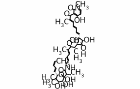 C/C=C\C=C\[C@@H]1O[C@](O)([C@H](CC)C(=O)NC/C=C/C=C(\C)[C@@H](OC)[C@@H](C)[C@@H]2O[C@H](/C=C/C=C/C=C(\C)C(=O)c3c(O)ccn(C)c3=O)[C@H](O)[C@@H]2O)[C@H](O)[C@H](O)C1(C)C